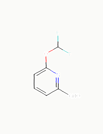 O=Cc1cccc(OC(F)F)n1